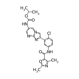 Cc1nc(C)c(C(=O)Nc2ccc(Cl)c(-c3cn4cc(NC(=O)OC(C)C)cnc4n3)c2)o1